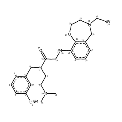 COc1ccnc(CN(CCN(C)C)C(=O)CNc2cccc3c2OCCN(CC(C)C)C3)c1